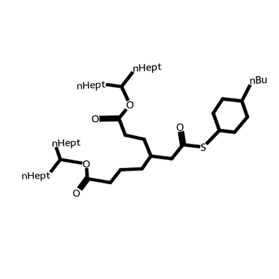 CCCCCCCC(CCCCCCC)OC(=O)CCCC(CCC(=O)OC(CCCCCCC)CCCCCCC)CC(=O)SC1CCC(CCCC)CC1